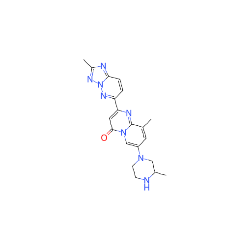 Cc1nc2ccc(-c3cc(=O)n4cc(N5CCNC(C)C5)cc(C)c4n3)nn2n1